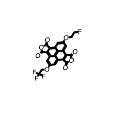 O=c1oc(=O)c2c3cc(OCC(F)(F)F)cc4c5c(=O)oc(=O)c5c5cc(OCCF)cc(c12)c5c34